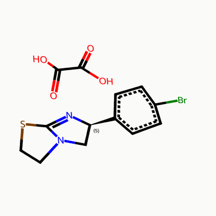 Brc1ccc([C@H]2CN3CCSC3=N2)cc1.O=C(O)C(=O)O